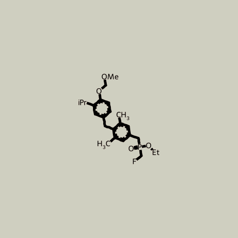 CCOP(=O)(CF)Cc1cc(C)c(Cc2ccc(OCOC)c(C(C)C)c2)c(C)c1